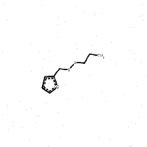 CCCSSCc1ccco1